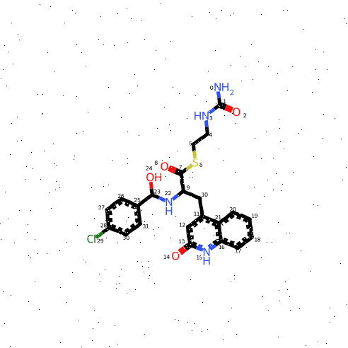 NC(=O)NCCSC(=O)C(Cc1cc(=O)[nH]c2ccccc12)NC(O)c1ccc(Cl)cc1